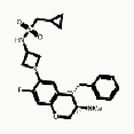 CN[C@H]1COc2cc(F)c(N3CC(NS(=O)(=O)CC4CC4)C3)cc2[C@@H]1Cc1ccccc1